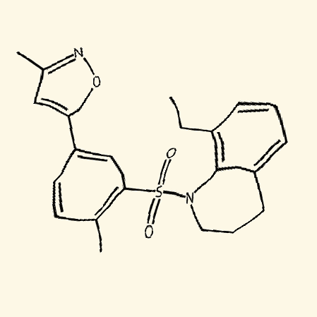 CCc1cccc2c1N(S(=O)(=O)c1cc(-c3cc(C)no3)ccc1C)CCC2